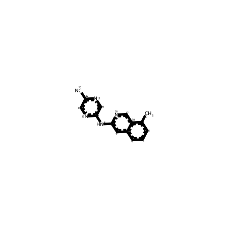 Cc1cccc2cc(Nc3cnc(C#N)cn3)ncc12